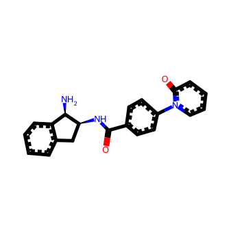 N[C@@H]1c2ccccc2C[C@@H]1NC(=O)c1ccc(-n2ccccc2=O)cc1